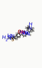 CN(C(=N)/C=C\C(=N)c1cc2c(cc1O)C1=C(C2)SC(N)N1)C1CC(C)(C)NC(C)(C)C1